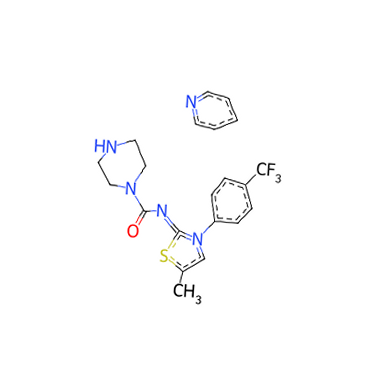 Cc1cn(-c2ccc(C(F)(F)F)cc2)c(=NC(=O)N2CCNCC2)s1.c1ccncc1